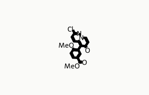 COC(=O)c1ccc(OC)c(-c2c(=O)ccn3nc(Cl)ccc23)c1